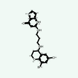 O=c1cc(NCCCNC2CCOc3c(Br)cc(Cl)cc32)[nH]c2ccsc12